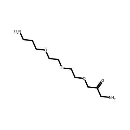 NCCCOCCOCCOCC(=O)CN